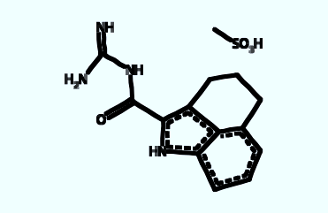 CS(=O)(=O)O.N=C(N)NC(=O)c1[nH]c2cccc3c2c1CCC3